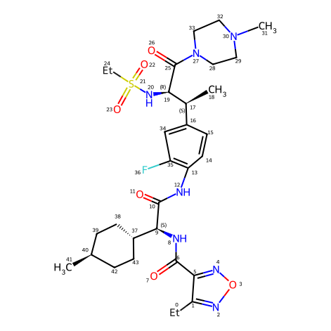 CCc1nonc1C(=O)N[C@H](C(=O)Nc1ccc([C@H](C)[C@@H](NS(=O)(=O)CC)C(=O)N2CCN(C)CC2)cc1F)[C@H]1CC[C@H](C)CC1